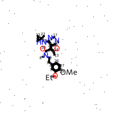 CCOc1cc(CCN(C)C(=O)c2c(C)oc3ncnc(NC4(C)CC4)c23)ccc1OC